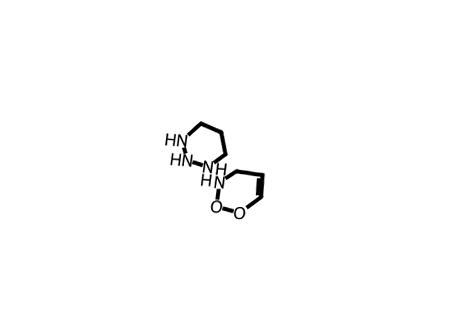 C1=COONC1.C1CNNNC1